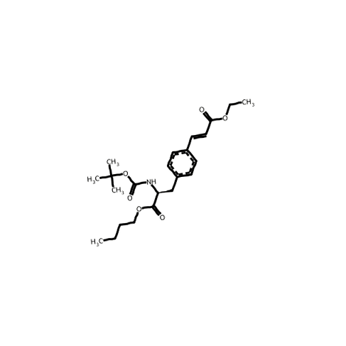 CCCCOC(=O)[C@H](Cc1ccc(/C=C/C(=O)OCC)cc1)NC(=O)OC(C)(C)C